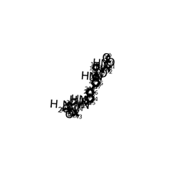 COC(=O)N[C@H](C(=O)N1CCC[C@H]1c1nc2ccc(-c3ccc4c(ccc5nc([C@H](CCCN)C[C@@H](NC(=O)OC)C(C)C)[nH]c54)c3)cc2[nH]1)C(C)C